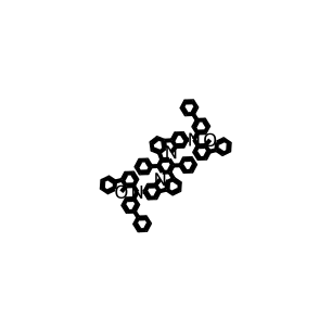 c1ccc(-c2cccc(N(c3ccc4c5cccc6c7c(-c8ccccc8)c8c(c(-c9ccccc9)c7n(c4c3)c56)c3cccc4c5ccc(N(c6cccc(-c7ccccc7)c6)c6cccc7c6oc6ccccc67)cc5n8c43)c3cccc4c3oc3ccccc34)c2)cc1